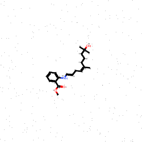 COC(=O)c1ccccc1NC=CCC=C(C)CCCC(C)(C)O